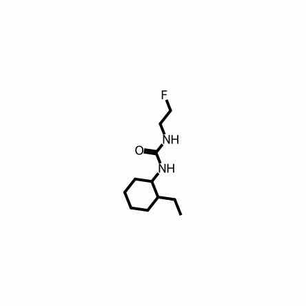 CCC1CCCCC1NC(=O)NCCF